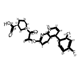 CC(Oc1ccc2c(-c3ccc(F)cc3Cl)ccnc2n1)C(=O)N1CCC[C@H](C(=O)O)C1